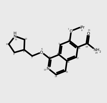 CC(C)Oc1cc2c(OCC3CCNC3)nccc2cc1C(N)=O